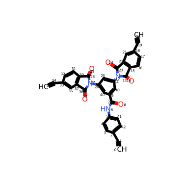 C#Cc1ccc(NC(=O)c2cc(N3C(=O)c4ccc(C#C)cc4C3=O)cc(N3C(=O)c4ccc(C#C)cc4C3=O)c2)cc1